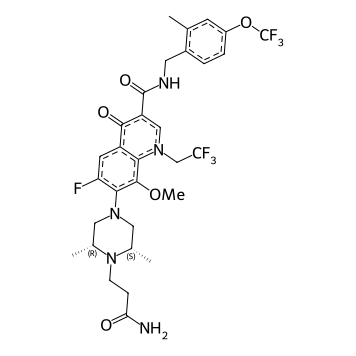 COc1c(N2C[C@@H](C)N(CCC(N)=O)[C@@H](C)C2)c(F)cc2c(=O)c(C(=O)NCc3ccc(OC(F)(F)F)cc3C)cn(CC(F)(F)F)c12